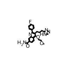 COCCOc1c(CCCc2nnc[nH]2)c(-c2ccc(F)cc2)nc2cc(C(N)=O)ccc12